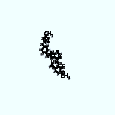 COc1ccc(C2CC2)c(CNc2ncnc3nn(Cc4ccc(Cn5cc(C)cn5)cc4)cc23)c1F